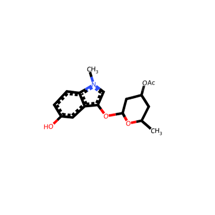 CC(=O)OC1CC(C)OC(Oc2cn(C)c3ccc(O)cc23)C1